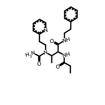 CCC(=O)NC(C(=O)NCCc1ccccc1)C(C)N(CCc1ccccn1)C(N)=O